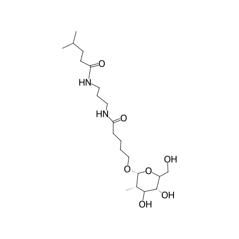 CC(C)CCC(=O)NCCCNC(=O)CCCCO[C@@H]1OC(CO)[C@H](O)C(O)[C@@H]1C